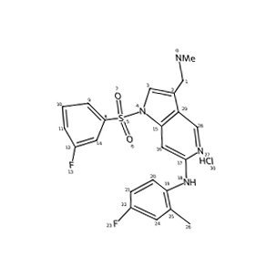 CNCc1cn(S(=O)(=O)c2cccc(F)c2)c2cc(Nc3ccc(F)cc3C)ncc12.Cl